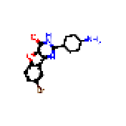 NC1CCC(c2nc3c(oc4ccc(Br)cc43)c(=O)[nH]2)CC1